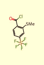 CSc1cc(S(F)(F)(F)(F)F)ccc1C(=O)Cl